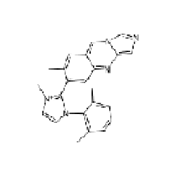 Cc1cc2cn3cncc3nc2cc1-c1n(-c2c(C)cccc2C)cc[n+]1C